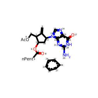 C=C1C(COC(C)=O)C(OC(=O)CCCCC)CC1n1cnc2c(=O)[nH]c(N)nc21.c1ccccc1